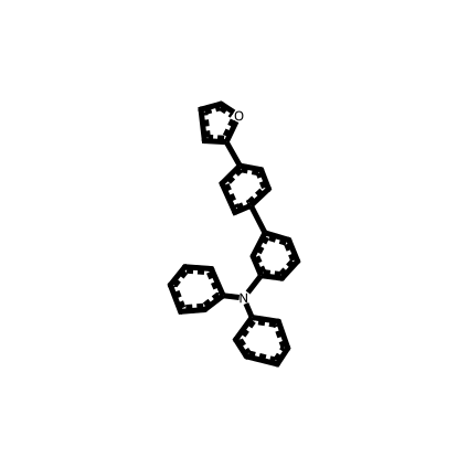 c1ccc(N(c2ccccc2)c2cccc(-c3ccc(-c4ccco4)cc3)c2)cc1